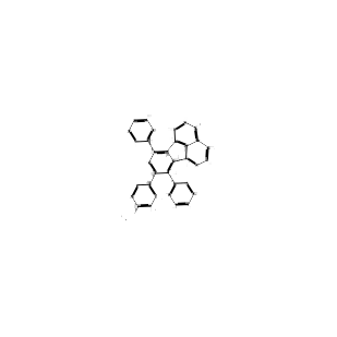 N#Cc1ccc(-c2cc(-c3ccccc3)c3c(c2-c2ccccc2)-c2cccc4cccc-3c24)cc1